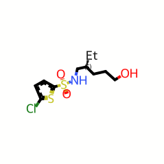 CC[C@@H](CCCO)CNS(=O)(=O)c1ccc(Cl)s1